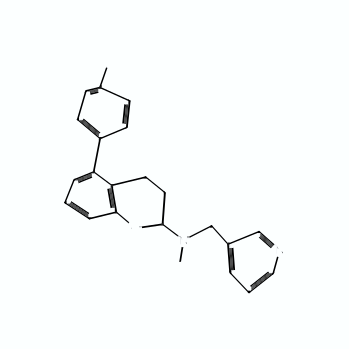 CN(Cc1cccnc1)C1CCc2c(cccc2-c2ccc(F)cc2)O1